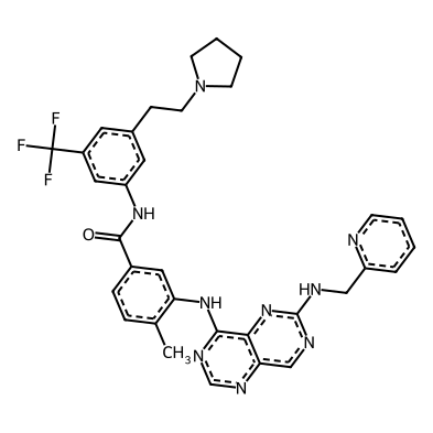 Cc1ccc(C(=O)Nc2cc(CCN3CCCC3)cc(C(F)(F)F)c2)cc1Nc1ncnc2cnc(NCc3ccccn3)nc12